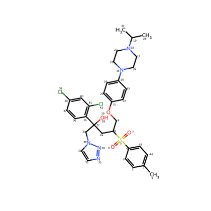 Cc1ccc(S(=O)(=O)C(COc2ccc(N3CCN(C(C)C)CC3)cc2)CC(O)(Cn2ccnn2)c2ccc(Cl)cc2Cl)cc1